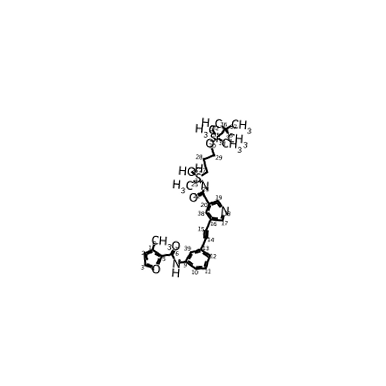 Cc1ccoc1C(=O)Nc1cccc(C#Cc2cncc(C(=O)N=[SH](C)(O)CCCO[Si](C)(C)C(C)(C)C)c2)c1